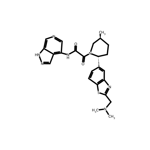 C[C@H]1CC[C@H](c2ccc3sc(CN(C)C)nc3c2)N(C(=O)C(=O)Nc2cncc3[nH]ncc23)C1